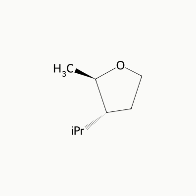 CC(C)[C@H]1CCO[C@@H]1C